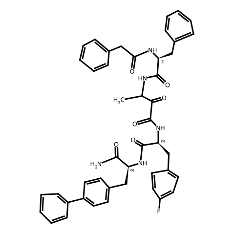 CC(NC(=O)[C@H](Cc1ccccc1)NC(=O)Cc1ccccc1)C(=O)C(=O)N[C@@H](Cc1ccc(F)cc1)C(=O)N[C@@H](Cc1ccc(-c2ccccc2)cc1)C(N)=O